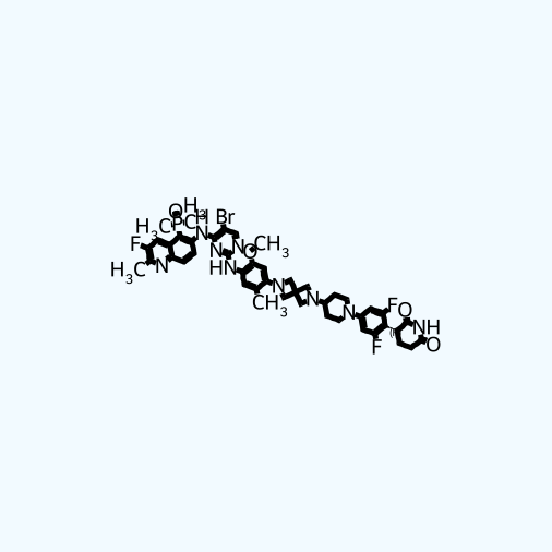 COc1cc(N2CC3(C2)CN(C2CCN(c4cc(F)c([C@H]5CCC(=O)NC5=O)c(F)c4)CC2)C3)c(C)cc1Nc1ncc(Br)c(Nc2ccc3nc(C)c(F)cc3c2P(C)(C)=O)n1